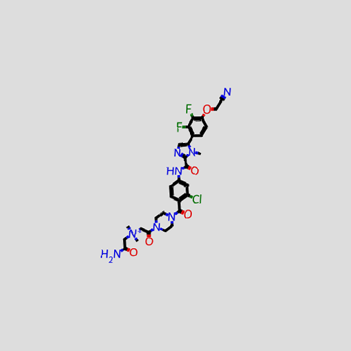 Cn1c(-c2ccc(OCC#N)c(F)c2F)cnc1C(=O)Nc1ccc(C(=O)N2CCN(C(=O)C[N+](C)(C)CC(N)=O)CC2)c(Cl)c1